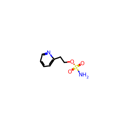 NS(=O)(=O)OCCc1ccccn1